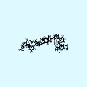 COC(=O)N[C@H](C(=O)N1CCC[C@H]1c1ncc(C2=Nc3cc4c(cc3C2)CC(c2cnc([C@@H]3CCCN3C(=O)[C@@H](NC(=O)P)C(C)C)[nH]2)=N4)[nH]1)C(C)C